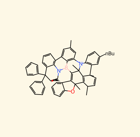 CCCCc1ccc2c(c1)C1(C)C=CC(C)C3=C1C1(C)C(=C4c5ccccc5OC43C)B3c4c(cc(C)cc4N21)-c1cccc2c1N3c1ccccc1C2(c1ccccc1)c1ccccc1